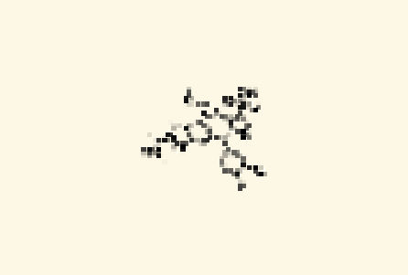 CNC(C)=O.COC1CC(n2c(S(=O)(=O)O)cnc2C(c2ccc(F)c(Cl)c2)c2ccc(F)c(Cl)c2)C1